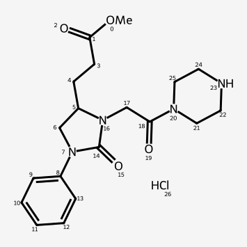 COC(=O)CCC1CN(c2ccccc2)C(=O)N1CC(=O)N1CCNCC1.Cl